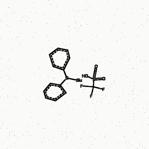 CC(C)(C)[Si](c1ccccc1)c1ccccc1.O=S(=O)(O)C(F)(F)F